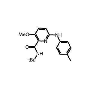 COc1ccc(Nc2ccc(C)cc2)nc1C(=O)NC(C)(C)C